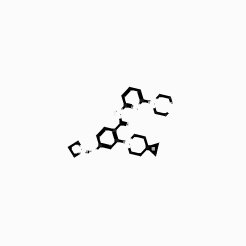 C[C@@H]1CN(c2cccc(NC(=O)c3ccc(SN4CCC4)cc3N3CCC4(CC3)CC4)n2)CCO1